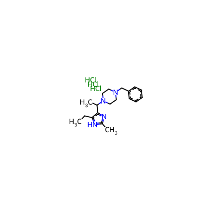 CCc1[nH]c(C)nc1C(C)N1CCN(Cc2ccccc2)CC1.Cl.Cl.Cl